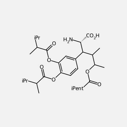 CCCC(C)C(=O)OC(C)C(C)C(c1ccc(OC(=O)C(C)C(C)C)c(OC(=O)C(C)C(C)C)c1)[C@H](N)C(=O)O